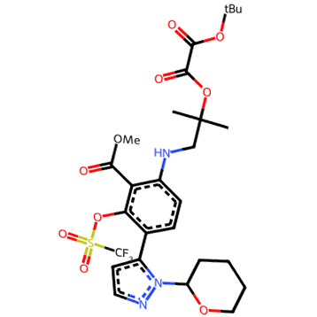 COC(=O)c1c(NCC(C)(C)OC(=O)C(=O)OC(C)(C)C)ccc(-c2ccnn2C2CCCCO2)c1OS(=O)(=O)C(F)(F)F